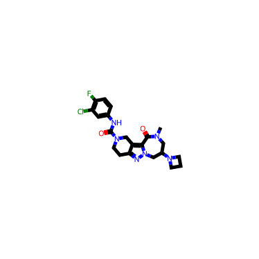 CN1CC(N2CCC2)Cn2nc3c(c2C1=O)CN(C(=O)Nc1ccc(F)c(Cl)c1)CC3